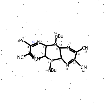 C=C(C#N)/C(CCC)=N\C1C(N)N(CCCC)C2N=C(C#N)C(C#N)=NC2N1CCCC